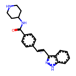 O=C(NC1CCNCC1)c1ccc(/C=C/c2n[nH]c3ccccc23)cc1